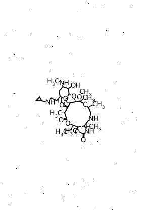 CC[C@H]1OC(=O)[C@H](C)C(=O)[C@H](C)[C@@H](O[C@@H]2OC(CCNC3CC3)CC(NC)C2O)[C@](C)(OC)C[C@@H](C)CN[C@H](C)[C@H]2NC(=O)O[C@@]21C